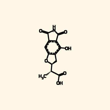 C[C@@H](C(=O)O)[C@@H]1Cc2c(cc3c(c2O)C(=O)NC3=O)O1